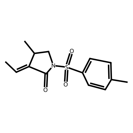 CC=C1C(=O)N(S(=O)(=O)c2ccc(C)cc2)CC1C